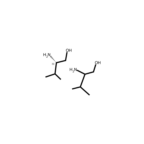 CC(C)C(N)CO.CC(C)[C@H](N)CO